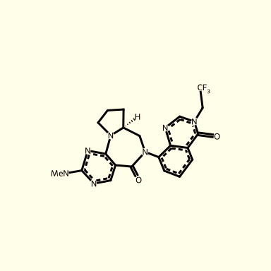 CNc1ncc2c(n1)N1CCC[C@H]1CN(c1cccc3c(=O)n(CC(F)(F)F)cnc13)C2=O